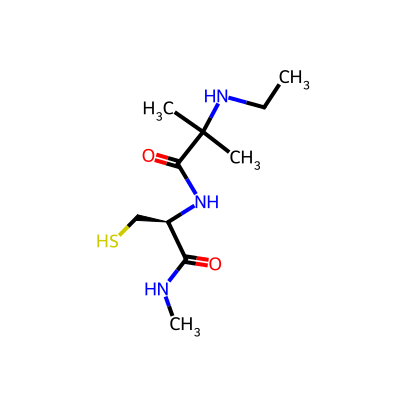 CCNC(C)(C)C(=O)N[C@H](CS)C(=O)NC